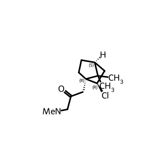 CNCC(=O)C[C@@]12CC[C@@H](C[C@H]1Cl)C2(C)C